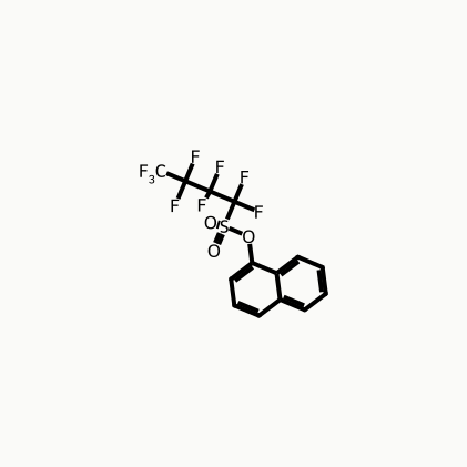 O=S(=O)(Oc1cccc2ccccc12)C(F)(F)C(F)(F)C(F)(F)C(F)(F)F